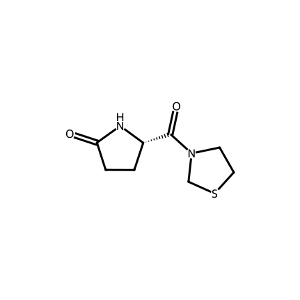 O=C1CC[C@@H](C(=O)N2CCSC2)N1